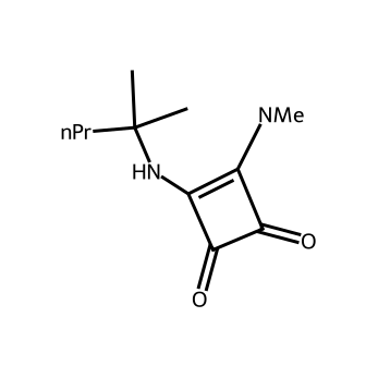 CCCC(C)(C)Nc1c(NC)c(=O)c1=O